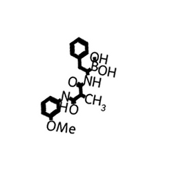 COc1cccc(NC(=O)C(C)C(=O)NC(Cc2ccccc2)B(O)O)c1